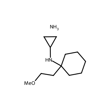 COCCC1(NC2CC2)CCCCC1.N